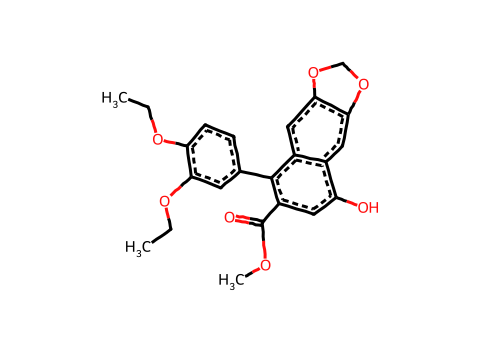 CCOc1ccc(-c2c(C(=O)OC)cc(O)c3cc4c(cc23)OCO4)cc1OCC